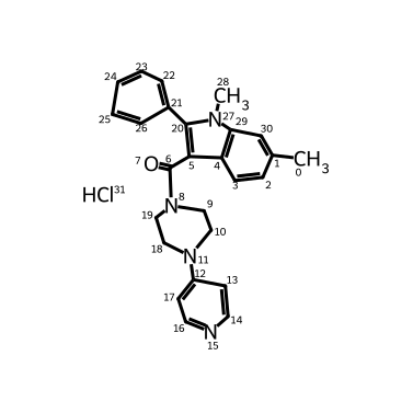 Cc1ccc2c(C(=O)N3CCN(c4ccncc4)CC3)c(-c3ccccc3)n(C)c2c1.Cl